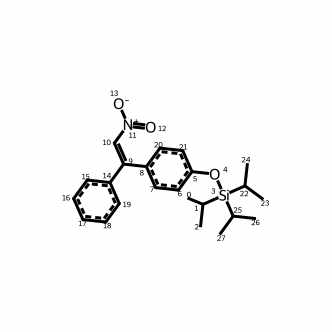 CC(C)[Si](Oc1ccc(/C(=C\[N+](=O)[O-])c2ccccc2)cc1)(C(C)C)C(C)C